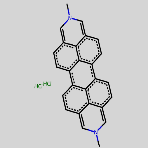 CN1C=c2ccc3c4ccc5c6c(ccc(c7ccc(c2c37)=C1)c64)=CN(C)C=5.Cl.Cl